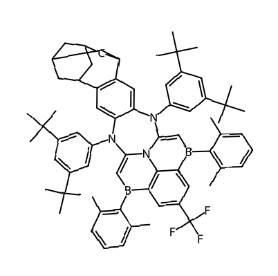 Cc1cccc(C)c1B1C=c2n3c(n(-c4cc(C(C)(C)C)cc(C(C)(C)C)c4)c4cc5c(cc4n2-c2cc(C(C)(C)C)cc(C(C)(C)C)c2)C2CC4CC(C2)CC5C4)=CB(c2c(C)cccc2C)c2cc(C(F)(F)F)cc1c2-3